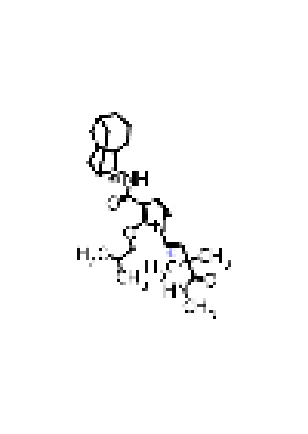 CNC(=O)C(C)(C)/C=C/n1ncc(C(=O)N[C@@H]2C3CC4CCCC2C(C4)C3)c1OCC(C)C